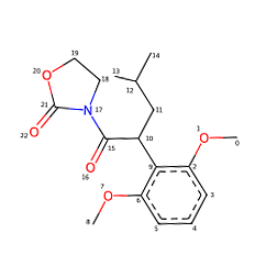 COc1cccc(OC)c1C(CC(C)C)C(=O)N1CCOC1=O